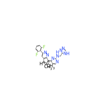 CC1(C)[C@H]2CC[C@@]1(c1ccnc(NCc3nnc[nH]3)n1)c1nnc(-c3c(F)cccc3F)cc12